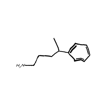 CC(CCCN)c1ccccc1